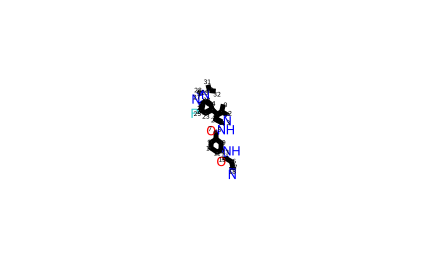 Cc1cnc(NC(=O)C2CCCC(NC(=O)CC#N)C2)cc1-c1cc(F)c2ncn(C(C)C)c2c1